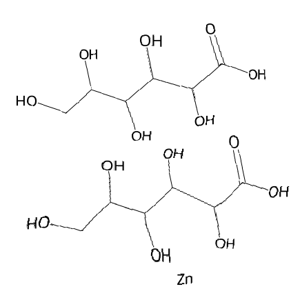 O=C(O)C(O)C(O)C(O)C(O)CO.O=C(O)C(O)C(O)C(O)C(O)CO.[Zn]